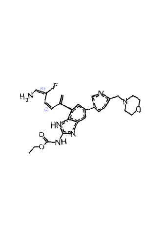 C=C(/C=C\C(F)=C/N)c1cc(-c2ccc(CN3CCOCC3)nc2)cc2nc(NC(=O)OCC)[nH]c12